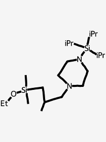 CCO[Si](C)(C)CC(C)CN1CCN([Si](C(C)C)(C(C)C)C(C)C)CC1